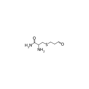 NC(=O)C(N)CSCCC=O